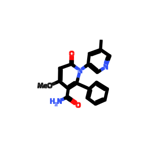 COc1cc(=O)n(-c2cncc(C)c2)c(-c2ccccc2)c1C(N)=O